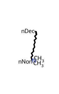 CCCCCCCCCC/C=C\CCCCCCCCCCCC(CCCCCCCCC)N(C)C